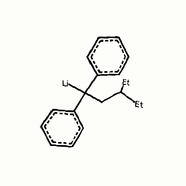 [Li][C](CC(CC)CC)(c1ccccc1)c1ccccc1